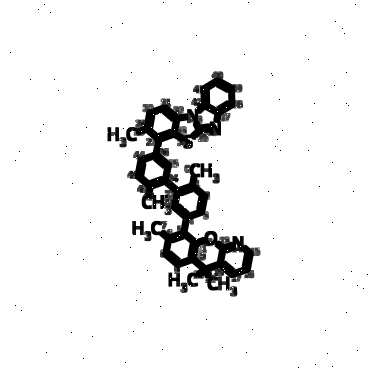 Cc1ccc(-c2c(C)ccc3c2Oc2ncccc2C3(C)C)cc1-c1cc(-c2c(C)ccc3c2sc2nc4ccccc4n23)ccc1C